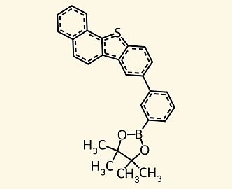 CC1(C)OB(c2cccc(-c3ccc4sc5c6ccccc6ccc5c4c3)c2)OC1(C)C